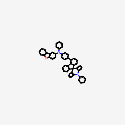 c1ccc(N(c2ccc(-c3cccc4c3-c3ccccc3C43c4ccccc4N(c4ccccc4)c4ccccc43)cc2)c2ccc3oc4ccccc4c3c2)cc1